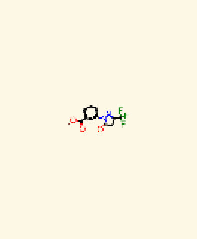 COC(=O)c1cccc(N2N=C(C(F)(F)F)CC2=O)c1